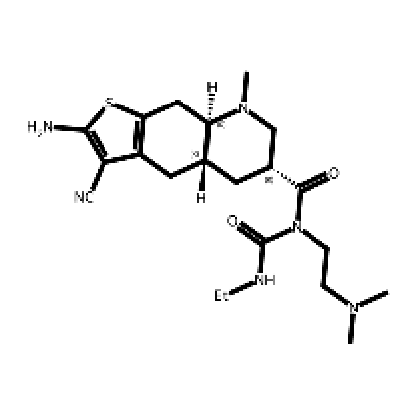 CCNC(=O)N(CCN(C)C)C(=O)[C@@H]1C[C@@H]2Cc3c(sc(N)c3C#N)C[C@H]2N(C)C1